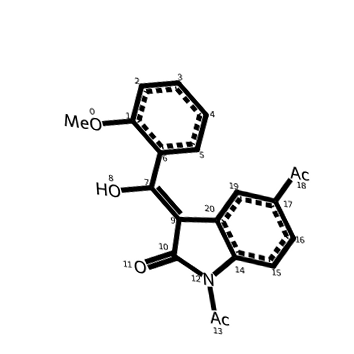 COc1ccccc1C(O)=C1C(=O)N(C(C)=O)c2ccc(C(C)=O)cc21